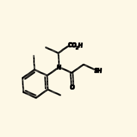 Cc1cccc(C)c1N(C(=O)CS)C(C)C(=O)O